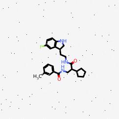 Cc1cccc(C(=O)NCC(C(=O)NCCC2CNc3ccc(F)cc32)C2CCCC2)c1